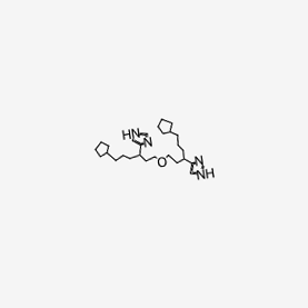 c1nc(C(CCCC2CCCC2)CCOCCC(CCCC2CCCC2)c2c[nH]cn2)c[nH]1